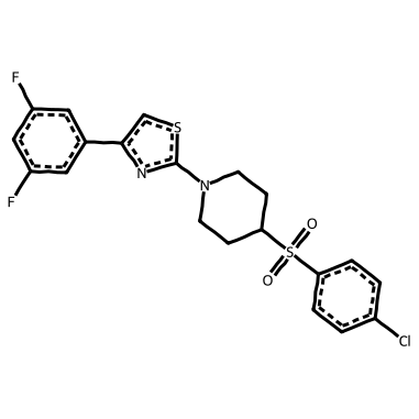 O=S(=O)(c1ccc(Cl)cc1)C1CCN(c2nc(-c3cc(F)cc(F)c3)cs2)CC1